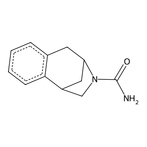 NC(=O)N1CC2CC1Cc1ccccc12